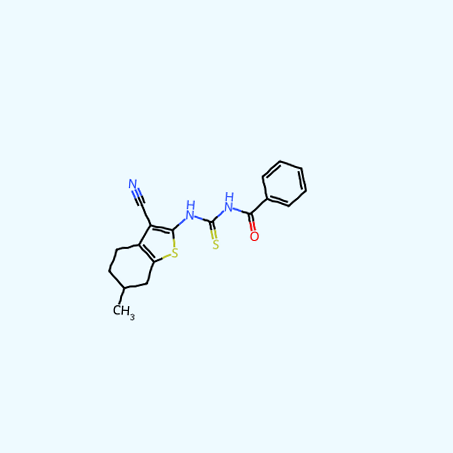 CC1CCc2c(sc(NC(=S)NC(=O)c3ccccc3)c2C#N)C1